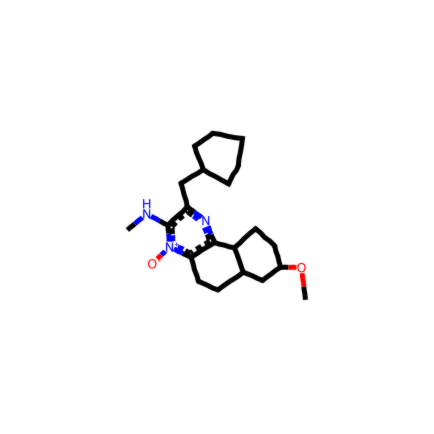 CNc1c(CC2CCCCC2)nc2c([n+]1[O-])CCC1CC(OC)CCC21